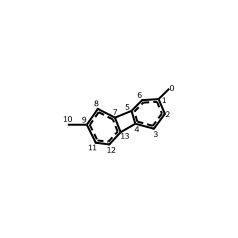 Cc1ccc2c(c1)-c1cc(C)ccc1-2